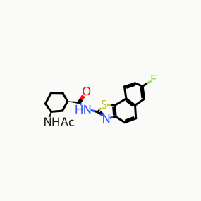 CC(=O)N[C@H]1CCC[C@@H](C(=O)Nc2nc3ccc4cc(F)ccc4c3s2)C1